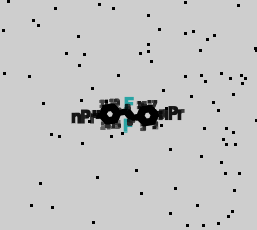 CCCc1ccc(C(F)=C(F)c2ccc(CCC)cc2)cc1